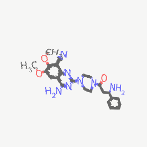 COc1cc2c(N)nc(N3CCN(C(=O)CC(N)c4ccccc4)CC3)nc2c(C#N)c1OC